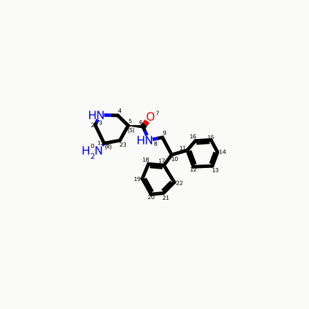 N[C@H]1CNC[C@@H](C(=O)NCC(c2ccccc2)c2ccccc2)C1